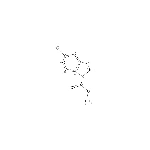 COC(=O)C1NCc2cc(Br)ccc21